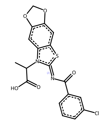 CC(C(=O)O)n1/c(=N/C(=O)c2cccc(Cl)c2)sc2cc3c(cc21)OCO3